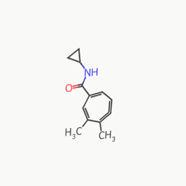 CC1=C=CC=C(C(=O)NC2CC2)C=C1C